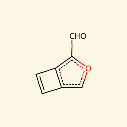 O=Cc1occ2c1C=C2